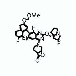 CCc1c(F)ccc2cc(OCOC)cc(-c3c(F)cc4c(N5CCC6C(=O)OC6C5)nc(OC[C@@]56CCCN5C[C@H](F)C6)nc4c3F)c12